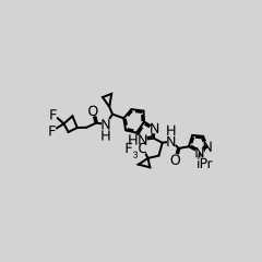 CC(C)n1nccc1C(=O)NC(CC1(C(F)(F)F)CC1)c1nc2ccc(C(NC(=O)CC3CC(F)(F)C3)C3CC3)cc2[nH]1